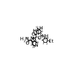 CC[C@H]1CCCC(NC(=O)[C@@H]2C[C@H]3C[C@H]3N2C(=O)Cn2nc(C(N)=O)c3ccncc32)C1